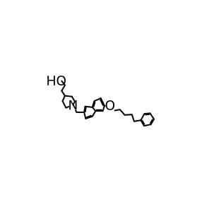 OCCC1CCN(Cc2ccc3cc(OCCCCCc4ccccc4)ccc3c2)CC1